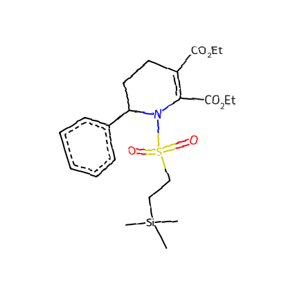 CCOC(=O)C1=C(C(=O)OCC)N(S(=O)(=O)CC[Si](C)(C)C)C(c2ccccc2)CC1